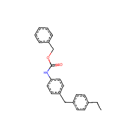 CCc1ccc(Cc2[c]cc(NC(=O)OCc3ccccc3)cc2)cc1